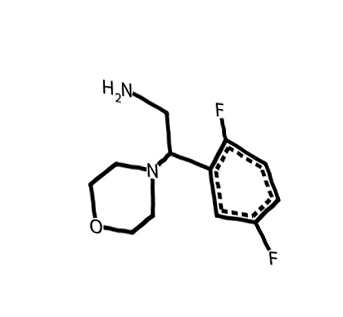 NCC(c1cc(F)ccc1F)N1CCOCC1